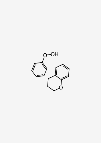 OOc1ccccc1.c1ccc2c(c1)CCCO2